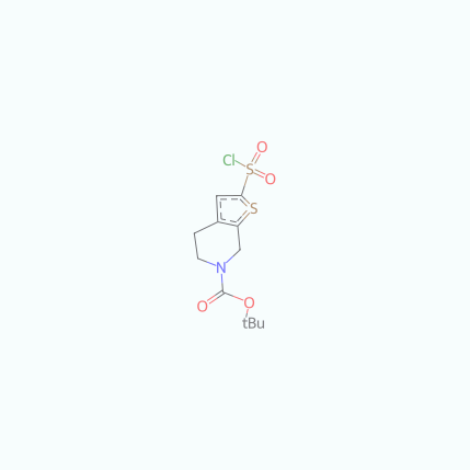 CC(C)(C)OC(=O)N1CCc2cc(S(=O)(=O)Cl)sc2C1